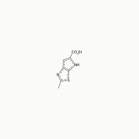 CCOC(=O)c1cc2nc(C)sc2[nH]1